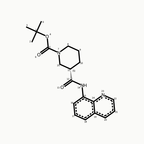 CC(C)(C)OC(=O)N1CCC[C@H](C(=O)Nc2cccc3cccnc23)C1